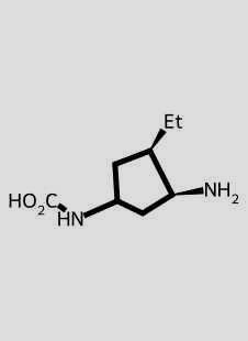 CC[C@@H]1CC(NC(=O)O)C[C@@H]1N